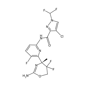 C[C@]1(c2nc(NC(=O)c3nn(C(F)F)cc3Cl)ccc2F)N=C(N)OCC1(F)F